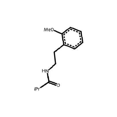 COc1ccccc1CCNC(=O)C(C)C